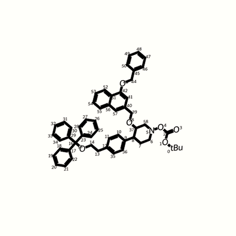 CC(C)(C)OC(=O)ON1CCC(c2ccc(CCOC(c3ccccc3)(c3ccccc3)c3ccccc3)cc2)C(OCc2cc(OCc3ccccc3)c3ccccc3c2)C1